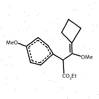 CCOC(=O)C(C(OC)=C1CCC1)c1ccc(OC)cc1